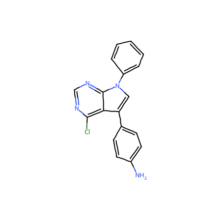 Nc1ccc(-c2cn(-c3ccccc3)c3ncnc(Cl)c23)cc1